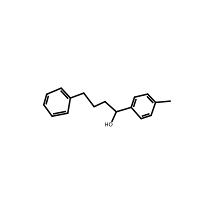 Cc1ccc(C(O)CCCc2ccccc2)cc1